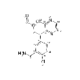 NCc1cc(C(COC=O)c2cncnc2Cl)ccc1Cl